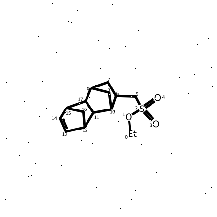 CCOS(=O)(=O)CC1CC2CC1C1C3C=CC(C3)C21